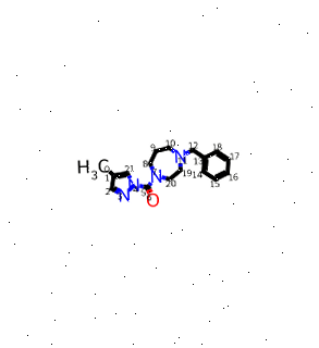 Cc1cnn(C(=O)N2CCCN(Cc3ccccc3)CC2)c1